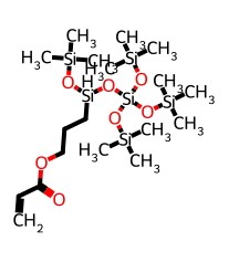 C=CC(=O)OCCC[SiH](O[Si](C)(C)C)O[Si](O[Si](C)(C)C)(O[Si](C)(C)C)O[Si](C)(C)C